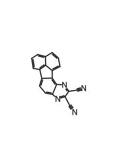 N#Cc1nc2ccc3c(c2nc1C#N)-c1cccc2cccc-3c12